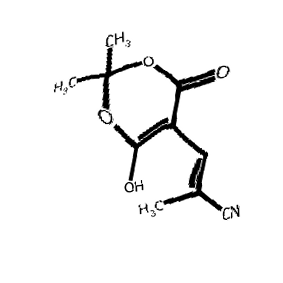 CC(C#N)=CC1=C(O)OC(C)(C)OC1=O